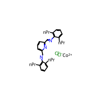 CCCc1cccc(CCC)c1N=Cc1cccc(C=Nc2c(CCC)cccc2CCC)n1.[Cl-].[Cl-].[Co+2]